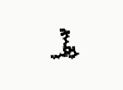 CC(N)Nc1nc(NCCN)nc(SCCCS(=O)(=O)O)n1